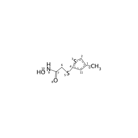 Cc1csc(SCC(=O)NO)c1